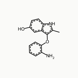 Cc1[nH]c2ccc(O)cc2c1Oc1ccccc1N